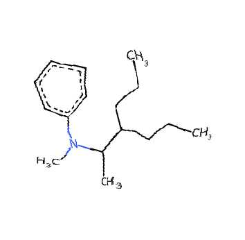 CCCC(CCC)C(C)N(C)c1ccccc1